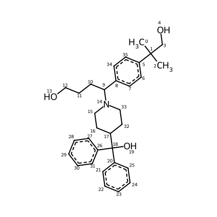 CC(C)(CO)c1ccc(C(CCCO)N2CCC(C(O)(c3ccccc3)c3ccccc3)CC2)cc1